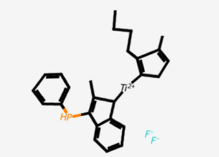 CCCCC1=[C]([Ti+2][CH]2C(C)=C(Pc3ccccc3)c3ccccc32)CC=C1C.[F-].[F-]